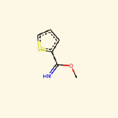 COC(=N)c1cccs1